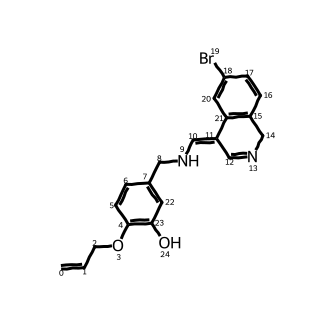 C=CCOc1ccc(CNC=C2C=NCc3ccc(Br)cc32)cc1O